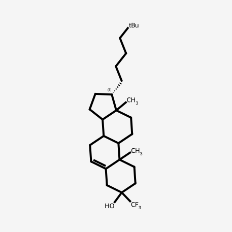 CC(C)(C)CCCC[C@H]1CCC2C3CC=C4CC(O)(C(F)(F)F)CCC4(C)C3CCC21C